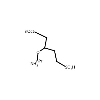 CCCCCCCCCC(CCS(=O)(=O)O)OCCC.N